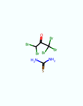 NC(N)=S.O=C(C(Br)Br)C(Br)(Br)Br